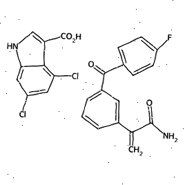 C=C(C(N)=O)c1cccc(C(=O)c2ccc(F)cc2)c1.O=C(O)c1c[nH]c2cc(Cl)cc(Cl)c12